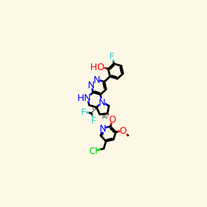 COc1cc(CCl)cnc1O[C@H]1CN2c3cc(-c4cccc(F)c4O)nnc3NC[C@]2(C(F)F)C1